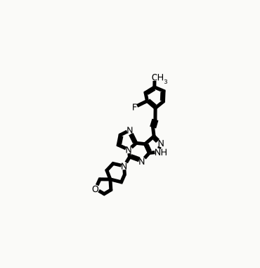 Cc1ccc(C#Cc2n[nH]c3nc(N4CCC5(CCOC5)CC4)n4ccnc4c23)c(F)c1